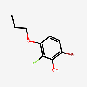 CCCOc1ccc(Br)c(O)c1F